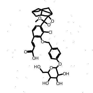 COC1(c2ccc(/C=C/C(=O)O)c(OCc3ccc(OC4OC(CO)C(O)C(O)C4O)cc3)c2Cl)OOC12C1CC3CC(C1)C2C3